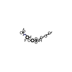 CCOCCOCCOCCNS(=O)(=O)c1ccc(Oc2c(F)cc(/C=C(\C)C(=O)OCC)cc2F)cc1